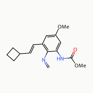 C=Nc1c(/C=C/C2CCC2)cc(OC)cc1NC(=O)OC